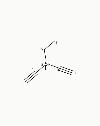 C#C[SiH](C#C)CC